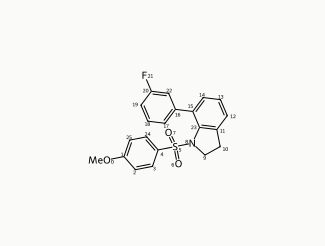 COc1ccc(S(=O)(=O)N2CCc3cccc(-c4cccc(F)c4)c32)cc1